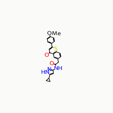 COc1ccc(-c2cc(=O)c3cc(CC(=O)Nc4cc(C5CC5)[nH]n4)ccc3s2)cc1